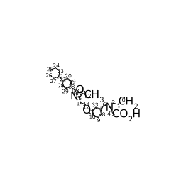 C=CCN(CC(=O)O)Cc1cccc(OCCc2nc(-c3ccc(C4CCCCC4)cc3)oc2C)c1